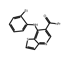 CCCC(=O)c1cnc2ccsc2c1Nc1ccccc1CC